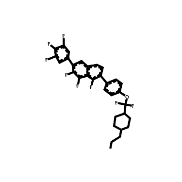 CCCC1CCC(C(F)(F)Oc2ccc(-c3ccc4cc(-c5cc(F)c(F)c(F)c5)c(F)c(F)c4c3F)cc2)CC1